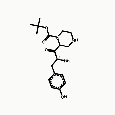 CC(C)(C)OC(=O)N1CCNCC1C(=O)[C@@H](N)Cc1ccc(O)cc1